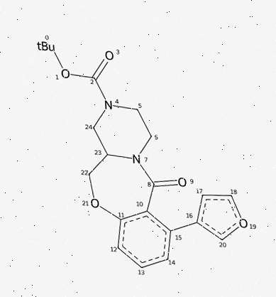 CC(C)(C)OC(=O)N1CCN2C(=O)c3c(cccc3-c3ccoc3)OCC2C1